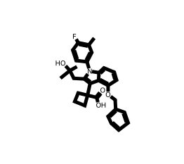 Cc1cc(-n2c(CC(C)(C)O)c(C3(C(=O)O)CCC3)c3c(OCc4ccccc4)cccc32)ccc1F